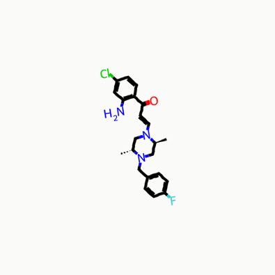 C[C@@H]1CN(/C=C/C(=O)c2ccc(Cl)cc2N)[C@@H](C)CN1Cc1ccc(F)cc1